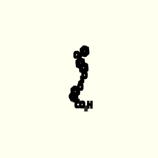 O=C(O)Cn1ccc2ccc(OCCCOc3ccc4cc(C(=O)c5ccccc5)ccc4c3)cc21